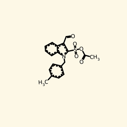 CC(=O)OS(=O)(=O)c1c(C=O)c2ccccc2n1Cc1ccc(C)cc1